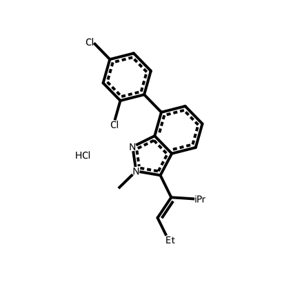 CC/C=C(/c1c2cccc(-c3ccc(Cl)cc3Cl)c2nn1C)C(C)C.Cl